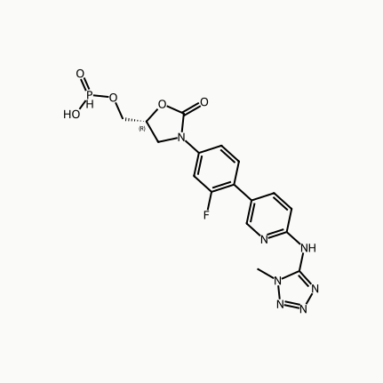 Cn1nnnc1Nc1ccc(-c2ccc(N3C[C@H](CO[PH](=O)O)OC3=O)cc2F)cn1